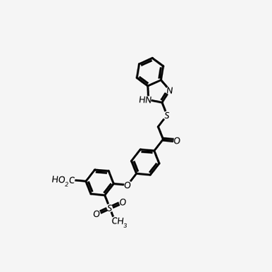 CS(=O)(=O)c1cc(C(=O)O)ccc1Oc1ccc(C(=O)CSc2nc3ccccc3[nH]2)cc1